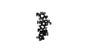 C[C@H](Nc1cc(F)c(S(=O)(=O)Nc2nccs2)cc1Cl)c1cc(F)ccc1F